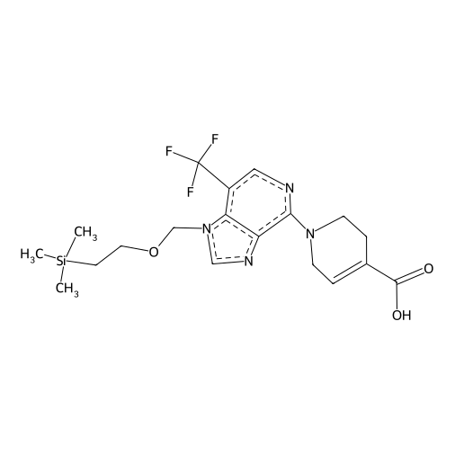 C[Si](C)(C)CCOCn1cnc2c(N3CC=C(C(=O)O)CC3)ncc(C(F)(F)F)c21